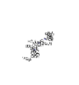 CCn1c(O)c(/N=N/c2ccc(/N=N/c3c(S(=O)(=O)O)cc4c(S(=O)(=O)O)c(/N=N/c5c(S(=O)(=O)O)cc6cc(S(=O)(=O)O)cc(O)c6c5O)ccc4c3O)c(S(=O)(=O)O)c2)c(C)c(C(N)=O)c1=O